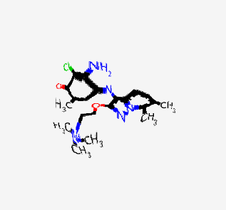 CC1=C/C(=N\c2c(OCC[N+](C)(C)C)nn3c(C)c(C)ccc23)C(N)=C(Cl)C1=O